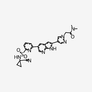 CN(C)C(=O)Cn1cc(-c2cc3cc(-c4cccc(S(=O)(=O)NC5(C#N)CC5)n4)cnc3[nH]2)cn1